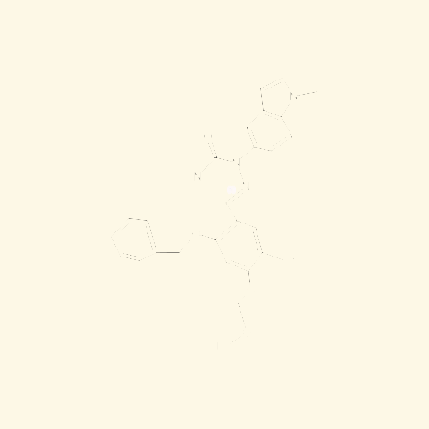 CCOCOc1cc(OCc2ccccc2)c(/C=N/N(C(N)=O)c2ccc3c(ccn3C)c2)cc1C(C)C